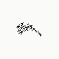 CC(C)(C)OC(=O)NCCCCNC(=O)C[C@@H]1O[C@@H]2O[C@H](COCc3ccccc3)[C@H](OCc3ccccc3)[C@H](OCc3ccccc3)[C@H]2NC1=O